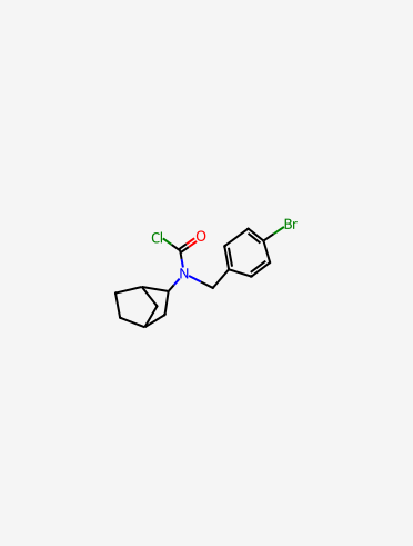 O=C(Cl)N(Cc1ccc(Br)cc1)C1CC2CCC1C2